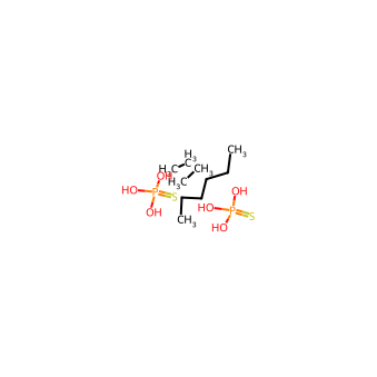 CC.CC.CCCCCC.OP(O)(O)=S.OP(O)(O)=S